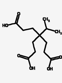 CC(C)C(CCC(=O)O)(CCC(=O)O)CCC(=O)O